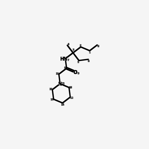 CCCC(C)(CC)NC(=O)CN1CCCCC1